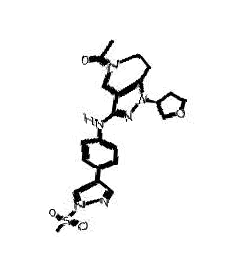 CC(=O)N1CCc2c(c(Nc3ccc(-c4cnn(S(C)(=O)=O)c4)cc3)nn2[C@H]2CCOC2)C1